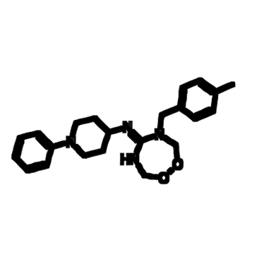 Cc1ccc(CN2COOCN/C2=N\C2CCN(c3ccccc3)CC2)cc1